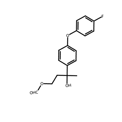 CC(O)(CCOC=O)c1ccc(Oc2ccc(F)cc2)cc1